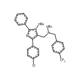 CCCCN(Cc1ccc(C(F)(F)F)cc1)Cc1c(-c2ccc(Cl)cc2)nc(-c2ccccc2)n1CCCC